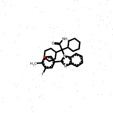 Cc1ccc(-c2nc3ccccc3n2C(C(N)=O)(C2CCCCC2)C2CCCCC2)cc1F